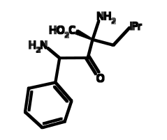 CC(C)C[C@](N)(C(=O)O)C(=O)C(N)c1ccccc1